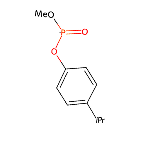 CO[P](=O)Oc1ccc(C(C)C)cc1